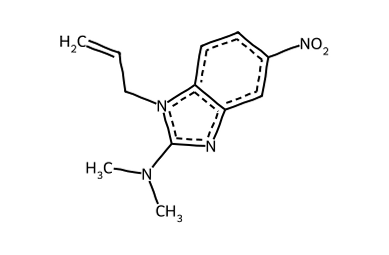 C=CCn1c(N(C)C)nc2cc([N+](=O)[O-])ccc21